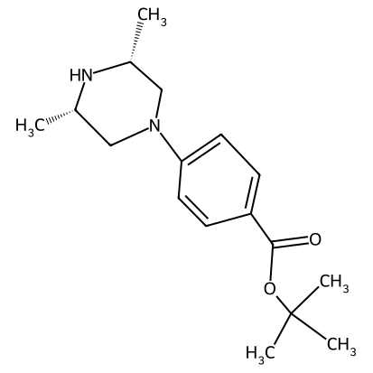 C[C@@H]1CN(c2ccc(C(=O)OC(C)(C)C)cc2)C[C@H](C)N1